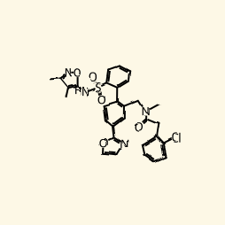 Cc1noc(NS(=O)(=O)c2ccccc2-c2ccc(-c3ncco3)cc2CN(C)C(=O)Cc2ccccc2Cl)c1C